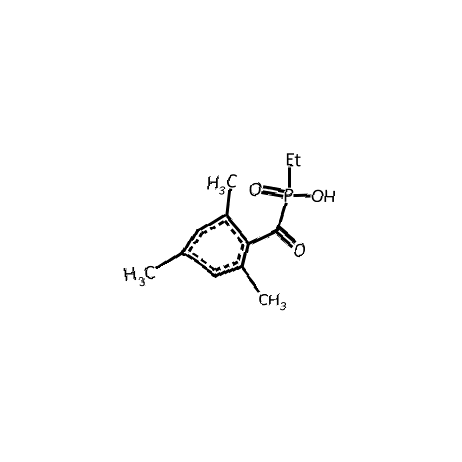 CCP(=O)(O)C(=O)c1c(C)cc(C)cc1C